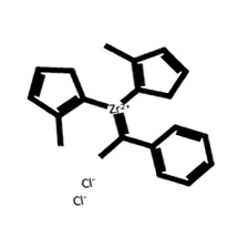 CC1=[C]([Zr+2]([C]2=C(C)C=CC2)=[C](C)c2ccccc2)CC=C1.[Cl-].[Cl-]